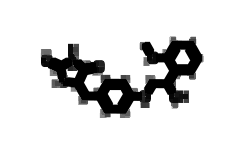 COc1ccccc1C(O)COc1ccc(CC2SC(=O)NC2=O)cc1